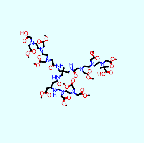 COC(=O)CC(CC(=O)NCC(C)(CNC(=O)CN(CCN(CCN(CC(=O)O)CC(=O)OC)CC(=O)OC)CC(=O)OC)CNC(=O)CN(CCN(CCN(CC(=O)OC)C(C)(C)C(=O)O)CC(=O)OC)CC(=O)OC)NCN(CCN(CC(=O)OC)CC(=O)OC)CC(=O)OC